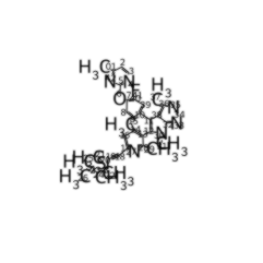 Cc1ccnc(Oc2ccc(-c3c(-c4c(C)cc(C#C[Si](C)(C)C(C)(C)C)nc4C)n(C)c4ncnc(C)c34)cc2F)n1